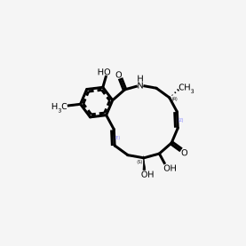 Cc1cc(O)c2c(c1)/C=C/C[C@H](O)C(O)C(=O)/C=C\[C@@H](C)CNC2=O